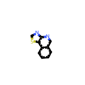 c1ccc2c(c1)cnc1ncsc12